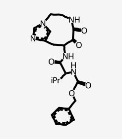 CC(C)C(NC(=O)OCc1ccccc1)C(=O)NC1Cc2cn(cn2)CCNC(=O)C1=O